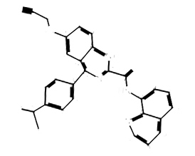 C#CCOc1ccc2nc(C(=O)Nc3cccc4cccnc34)nc(-c3ccc(C(C)C)cc3)c2c1